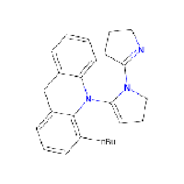 CCCCc1cccc2c1N(C1=CCCN1C1=NCCC1)c1ccccc1C2